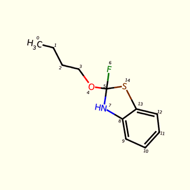 CCCCOC1(F)Nc2ccccc2S1